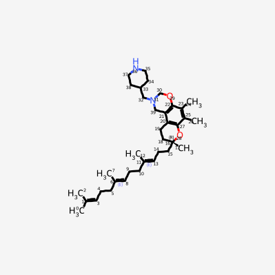 CC(C)=CCC/C(C)=C/CC/C(C)=C/CC[C@]1(C)CCc2c3c(c(C)c(C)c2O1)OCN(CC1CCNCC1)C3